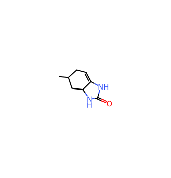 CC1CC=C2NC(=O)NC2C1